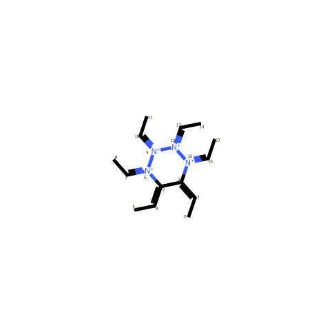 CC=c1c(=CC)[n+](=CC)[n+](=CC)[n+](=CC)[n+]1=CC